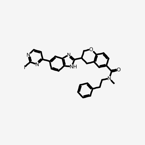 CN(CCc1ccccc1)C(=O)c1ccc2c(c1)CC(c1nc3cc(-c4ccnc(I)n4)ccc3[nH]1)CO2